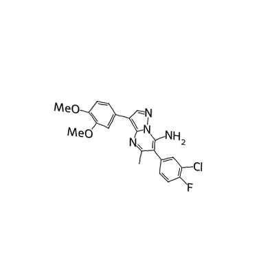 COc1ccc(-c2cnn3c(N)c(-c4ccc(F)c(Cl)c4)c(C)nc23)cc1OC